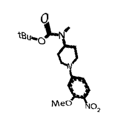 COc1cc(N2CCC(N(C)C(=O)OC(C)(C)C)CC2)ccc1[N+](=O)[O-]